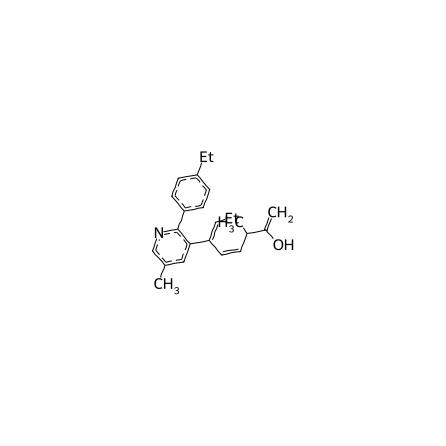 C=C(O)C(C)/C=C\C(=C/CC)c1cc(C)cnc1-c1ccc(CC)cc1